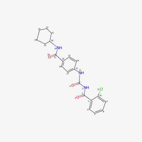 O=C(NC(=O)c1ccccc1Cl)Nc1ccc(C(=O)NC2CCCCC2)cc1